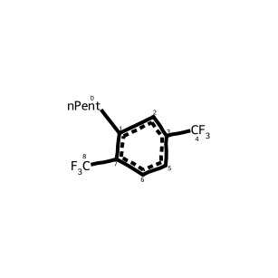 CCCCCc1cc(C(F)(F)F)ccc1C(F)(F)F